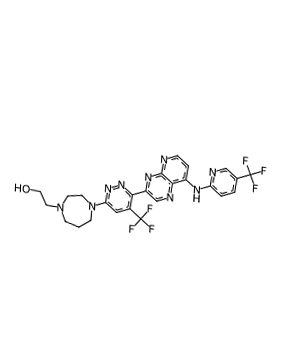 OCCN1CCCN(c2cc(C(F)(F)F)c(-c3cnc4c(Nc5ccc(C(F)(F)F)cn5)ccnc4n3)nn2)CC1